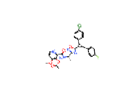 COc1ccnc(C(=O)N[C@@H](C)c2noc(C3C(c4ccc(F)cc4)C3c3ccc(Cl)cc3)n2)c1OC(C)=O